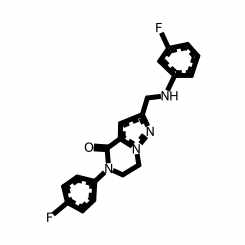 O=C1c2cc(CNc3cccc(F)c3)nn2CCN1c1ccc(F)cc1